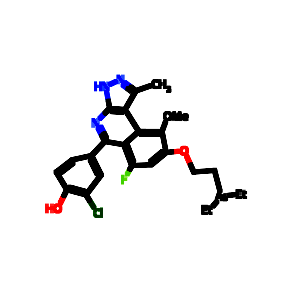 CC[As](CC)CCOc1cc(F)c2c(-c3ccc(O)c(Cl)c3)nc3[nH]nc(C)c3c2c1OC